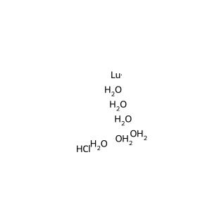 Cl.O.O.O.O.O.O.[Lu]